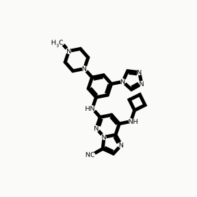 CN1CCN(c2cc(Nc3cc(NC4CCC4)c4ncc(C#N)n4n3)cc(-n3cnnc3)c2)CC1